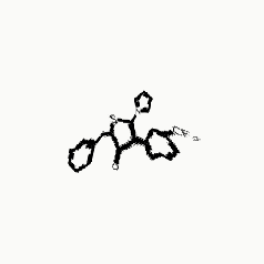 O=C1C(c2cccc(C(F)(F)F)c2)=C(n2cccc2)SC1c1ccccc1